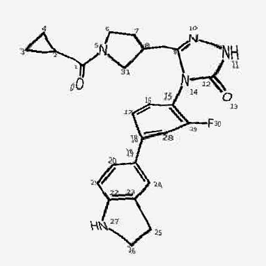 O=C(C1CC1)N1CCC(c2n[nH]c(=O)n2-c2ccc(-c3ccc4c(c3)CCN4)cc2F)C1